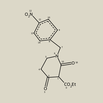 CCOC(=O)C1C(=O)CCN(Cc2ccc([N+](=O)[O-])cc2)C1=O